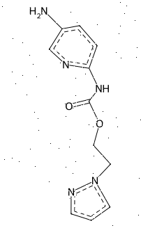 Nc1ccc(NC(=O)OCCn2cccn2)nc1